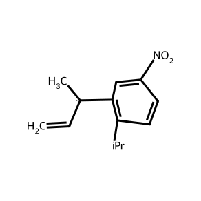 C=C[C](C)c1cc([N+](=O)[O-])ccc1C(C)C